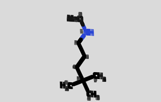 CONCCCC(C)(C)C